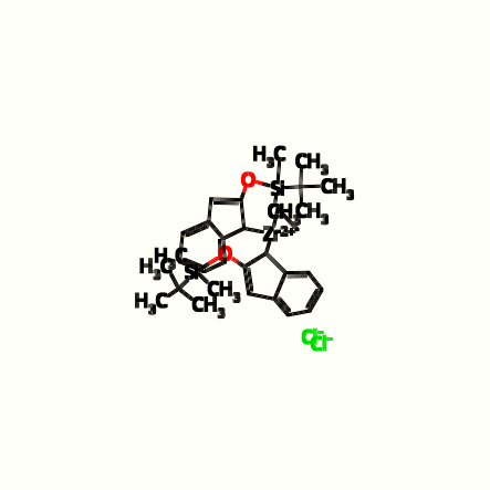 CC(C)(C)[Si](C)(C)OC1=Cc2ccccc2[CH]1[Zr+2]1([CH]2C(O[Si](C)(C)C(C)(C)C)=Cc3ccccc32)[CH2][CH2]1.[Cl-].[Cl-]